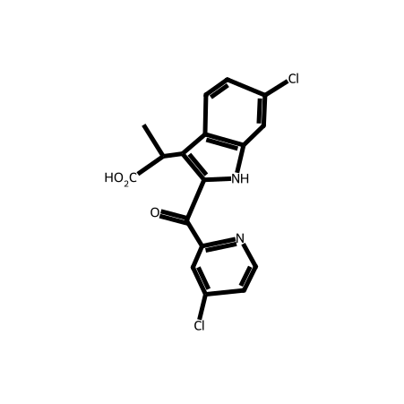 CC(C(=O)O)c1c(C(=O)c2cc(Cl)ccn2)[nH]c2cc(Cl)ccc12